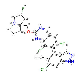 Cc1c(Cl)cc2[nH]ncc2c1-c1c(F)cc2cnc(OC[C@@]34CCCN3C[C@H](F)C4)nc2c1F